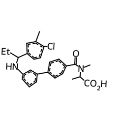 CCC(Nc1cccc(-c2ccc(C(=O)N(C)C(C)C(=O)O)cc2)c1)c1ccc(Cl)c(C)c1